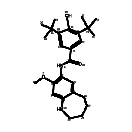 COc1cc2c(cc1NC(=O)c1cc(C(C)(C)C)c(O)c(C(C)(C)C)c1)CCCCN2